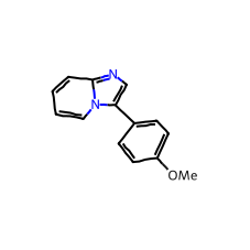 COc1ccc(-c2cnc3ccccn23)cc1